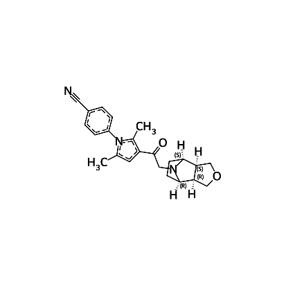 Cc1cc(C(=O)CN2[C@@H]3CC[C@H]2[C@H]2COC[C@H]23)c(C)n1-c1ccc(C#N)cc1